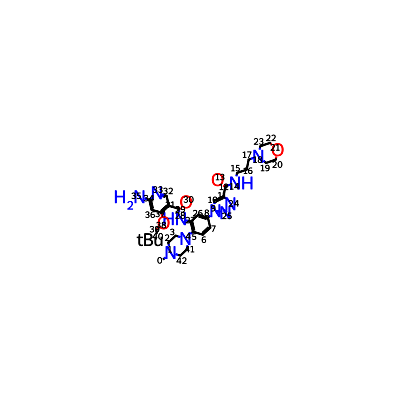 CN1CCN(c2ccc(-n3cc(C(=O)NCCCN4CCOCC4)nn3)cc2NC(=O)c2cnc(N)cc2OCC(C)(C)C)CC1